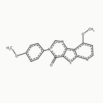 COc1ccc(-n2cnc3c(sc4nccc(OC)c43)c2=O)cc1